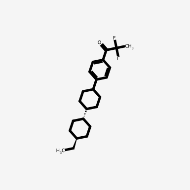 CC[C@H]1CC[C@H](C2CCC(c3ccc(C(=O)C(C)(F)F)cc3)CC2)CC1